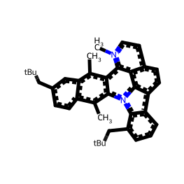 Cc1c2cc(CC(C)(C)C)ccc2c(C)c2c1c1c3c(ccc4c5cccc(CC(C)(C)C)c5n2c43)cc[n+]1C